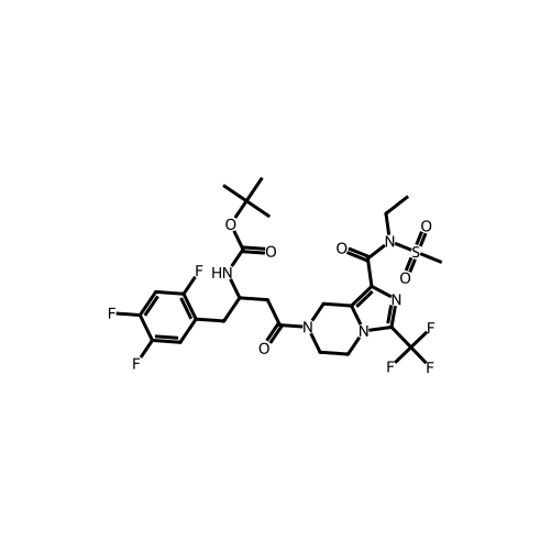 CCN(C(=O)c1nc(C(F)(F)F)n2c1CN(C(=O)CC(Cc1cc(F)c(F)cc1F)NC(=O)OC(C)(C)C)CC2)S(C)(=O)=O